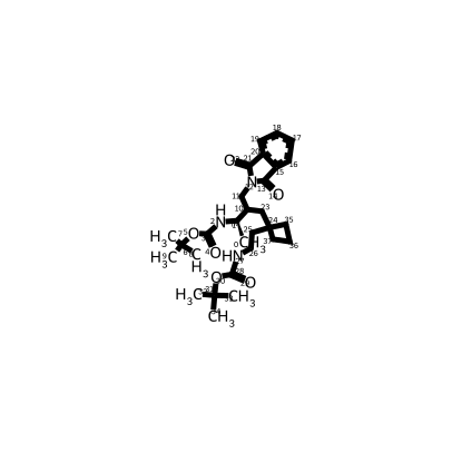 C[C@@H](NC(=O)OC(C)(C)C)C(CN1C(=O)c2ccccc2C1=O)CC1(CCNC(=O)OC(C)(C)C)CCC1